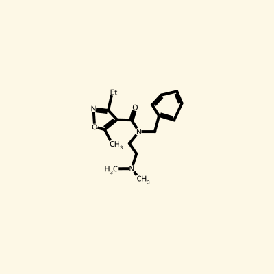 CCc1noc(C)c1C(=O)N(CCN(C)C)Cc1ccccc1